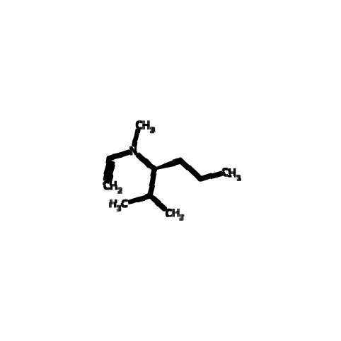 C=CN(C)[C@@H](CCC)C(C)C